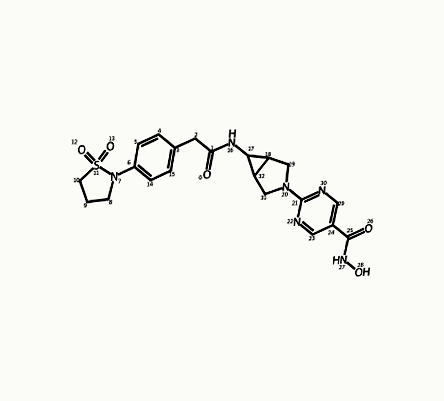 O=C(Cc1ccc(N2CCCS2(=O)=O)cc1)NC1C2CN(c3ncc(C(=O)NO)cn3)CC21